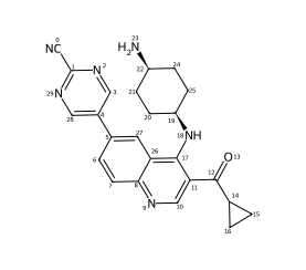 N#Cc1ncc(-c2ccc3ncc(C(=O)C4CC4)c(N[C@H]4CC[C@@H](N)CC4)c3c2)cn1